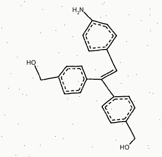 Nc1ccc(C=C(c2ccc(CO)cc2)c2ccc(CO)cc2)cc1